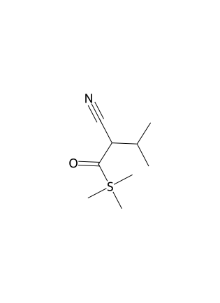 CC(C)C(C#N)C(=O)S(C)(C)C